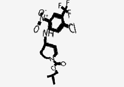 CC(C)COC(=O)N1CCC(Nc2cc(Cl)c(C(F)(F)F)cc2[N+](=O)[O-])CC1